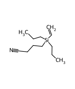 C=C[Si](CCC)(CCC)CCCC#N